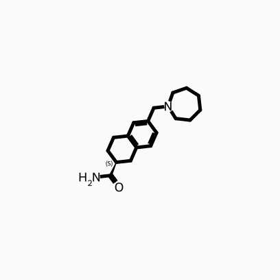 NC(=O)[C@H]1CCc2cc(CN3CCCCCC3)ccc2C1